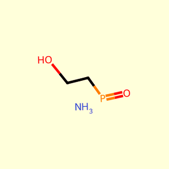 N.O=PCCO